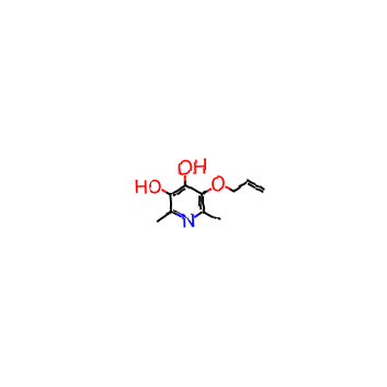 C=CCOc1c(C)nc(C)c(O)c1O